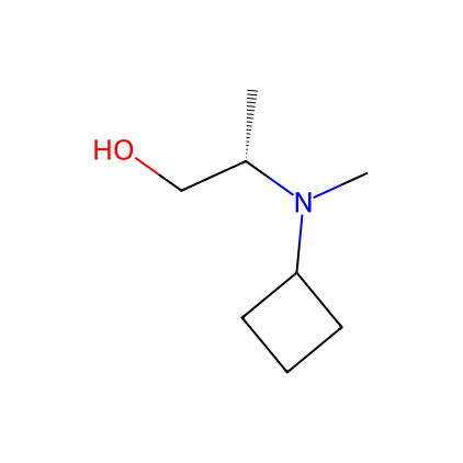 C[C@@H](CO)N(C)C1CCC1